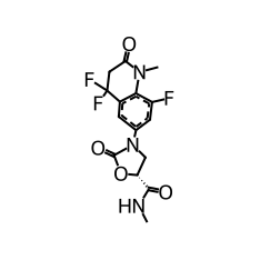 CNC(=O)[C@H]1CN(c2cc(F)c3c(c2)C(F)(F)CC(=O)N3C)C(=O)O1